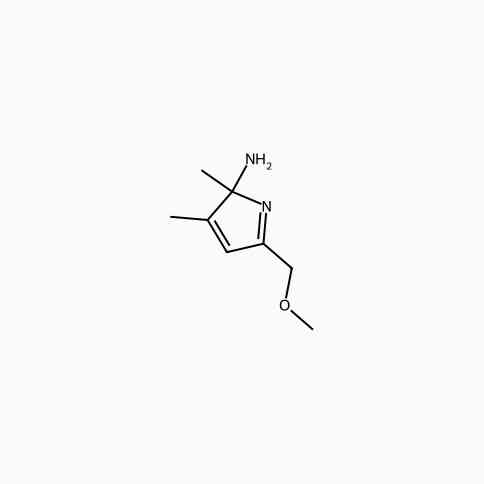 COCC1=NC(C)(N)C(C)=C1